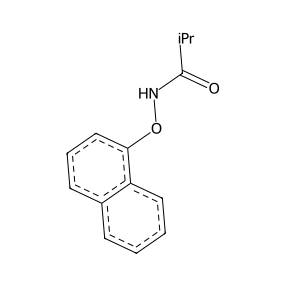 CC(C)C(=O)NOc1cccc2ccccc12